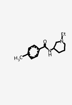 CCN1CCCC(NC(=O)c2ccc(C)cc2)C1